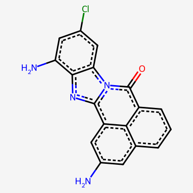 Nc1cc2cccc3c(=O)n4c5cc(Cl)cc(N)c5nc4c(c1)c23